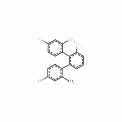 Cc1cc(Cl)ccc1-c1cccc(P)c1-c1ccc(Cl)cc1C